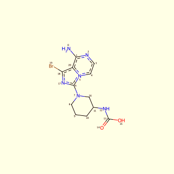 Nc1nccn2c(N3CCCC(NC(=O)O)C3)nc(Br)c12